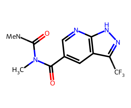 CNC(=O)N(C)C(=O)c1cnc2[nH]nc(C(F)(F)F)c2c1